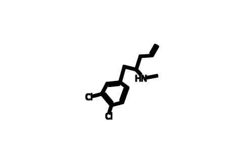 C=CCC(Cc1ccc(Cl)c(Cl)c1)NC